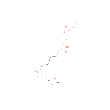 CC(C)OS(=O)(=O)COS(=O)(=O)CCCCCS(=O)(=O)OCS(C)(=O)=O